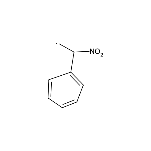 [CH2]C(c1ccccc1)[N+](=O)[O-]